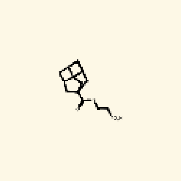 O=C(OCCS(=O)(=O)O)C12CC3CC4CC(C1)C43C2